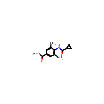 COC(=O)c1cc(C)c(NC(=O)C2CC2)c([N+](=O)[O-])c1